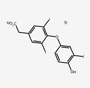 O=C(O)Cc1cc(I)c(Oc2ccc(O)c(I)c2)c(I)c1.[Tl]